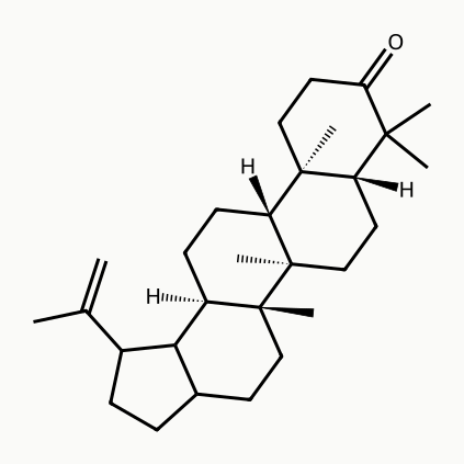 C=C(C)C1CCC2CC[C@]3(C)[C@H](CC[C@@H]4[C@@]5(C)CCC(=O)C(C)(C)[C@@H]5CC[C@]43C)C21